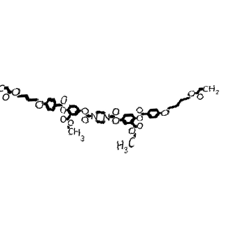 C=CC(=O)OCCCCOc1ccc(C(=O)Oc2ccc(OC(=O)N3CCN(C(=O)Oc4ccc(OC(=O)c5ccc(OCCCCOC(=O)C=C)cc5)c(C(=O)OCC)c4)CC3)cc2C(=O)OCC)cc1